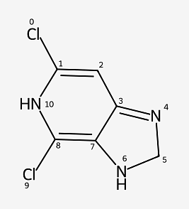 ClC1=CC2=NCNC2=C(Cl)N1